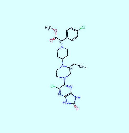 CC[C@H]1CN(c2nc3[nH]c(=O)[nH]c3nc2Cl)CCN1C1CCN([C@H](C(=O)OC)c2ccc(Cl)cc2)CC1